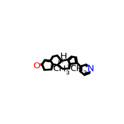 C[C@]12CCC3[C@@H](CCC4=CC(=O)CC[C@@]43C)C1=CC=C2c1cccnc1